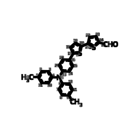 Cc1ccc(N(c2ccc(C)cc2)c2ccc(-c3ccc(-c4ccc(C=O)s4)s3)cc2)cc1